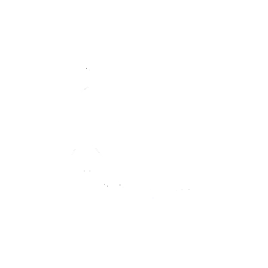 CC(=O)Nc1ccccc1.CCCCCCCC/C=C\CCCCCCCC(N)=O